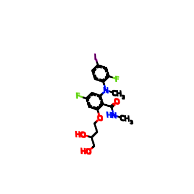 CNC(=O)c1c(OCCC(O)CO)cc(F)cc1N(C)c1ccc(I)cc1F